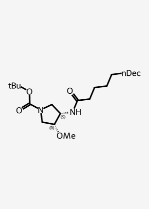 CCCCCCCCCCCCCCC(=O)N[C@H]1CN(C(=O)OC(C)(C)C)C[C@H]1OC